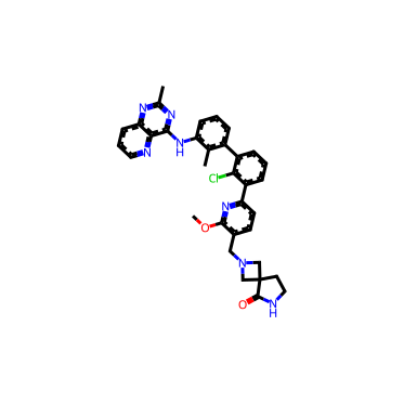 COc1nc(-c2cccc(-c3cccc(Nc4nc(C)nc5cccnc45)c3C)c2Cl)ccc1CN1CC2(CCNC2=O)C1